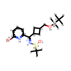 CC(C)(C)[S@@+]([O-])/N=C(/c1cccc(Br)n1)C1CC(CO[Si](C)(C)C(C)(C)C)C1